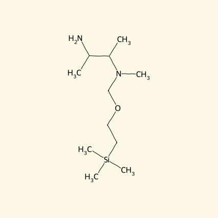 CC(N)C(C)N(C)COCC[Si](C)(C)C